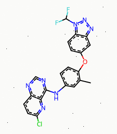 Cc1cc(Nc2ncnc3ccc(Cl)nc23)ccc1Oc1ccc2c(c1)nnn2C(F)F